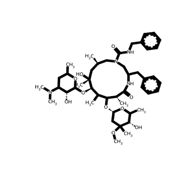 COC1(C)C[C@H](OC2C(C)[C@@H](OC3OC(C)CC(N(C)C)[C@H]3O)[C@](C)(O)C[C@@H](C)CN(C(=O)NCc3ccccc3)CC(Cc3ccccc3)NC(=O)[C@@H]2C)OC(C)[C@@H]1O